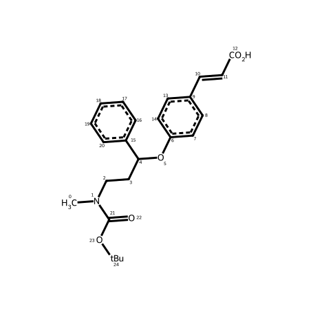 CN(CCC(Oc1ccc(/C=C/C(=O)O)cc1)c1ccccc1)C(=O)OC(C)(C)C